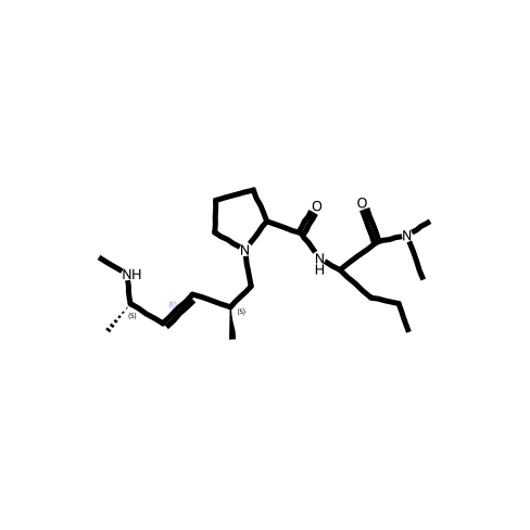 CCCC(NC(=O)C1CCCN1C[C@@H](C)/C=C/[C@H](C)NC)C(=O)N(C)C